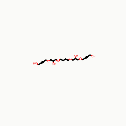 OCC#CCOCC(O)COCCCCOCC(O)COCC#CCO